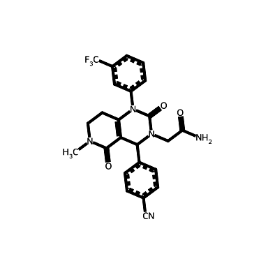 CN1CCC2=C(C1=O)C(c1ccc(C#N)cc1)N(CC(N)=O)C(=O)N2c1cccc(C(F)(F)F)c1